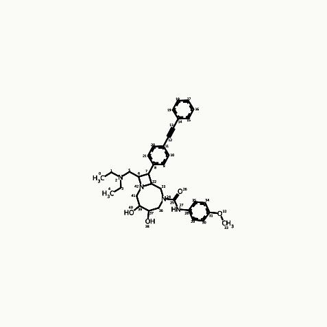 CCN(CC)CC1C(c2ccc(C#Cc3ccccc3)cc2)C2CN(C(=O)Nc3ccc(OC)cc3)CC(O)C(O)CN12